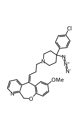 COc1ccc2c(c1)C(=CCCN1CCC(N=[N+]=[N-])(c3ccc(Cl)cc3)CC1)c1cccnc1CO2